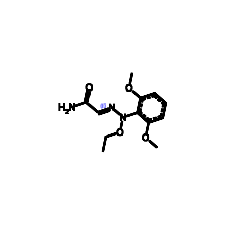 CCON(/N=C/C(N)=O)c1c(OC)cccc1OC